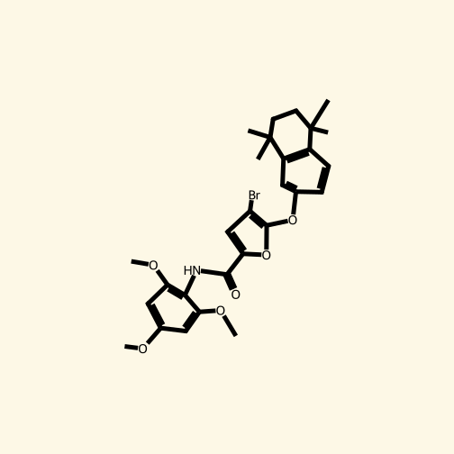 COc1cc(OC)c(NC(=O)c2cc(Br)c(Oc3ccc4c(c3)C(C)(C)CCC4(C)C)o2)c(OC)c1